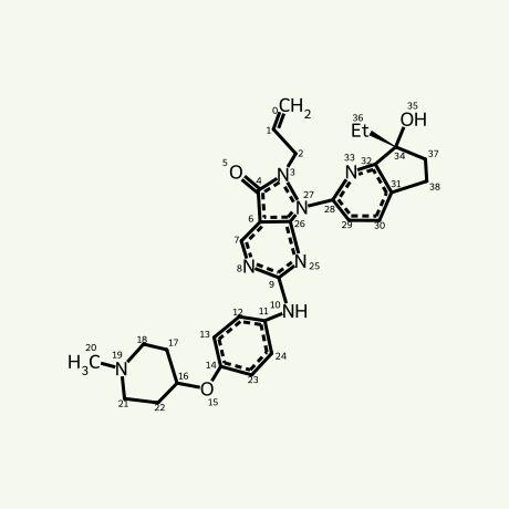 C=CCn1c(=O)c2cnc(Nc3ccc(OC4CCN(C)CC4)cc3)nc2n1-c1ccc2c(n1)[C@@](O)(CC)CC2